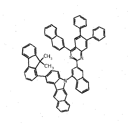 CC1(C)c2ccccc2-c2cccc(-c3ccc4c(c3)c3cc5ccccc5cc3n4-c3cc(-c4nc(-c5ccc6ccccc6c5)c5cc(-c6ccccc6)c(-c6ccccc6)cc5n4)cc4ccccc34)c21